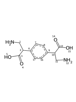 NCC(C(=O)O)c1ccc(C(CN)C(=O)O)cc1